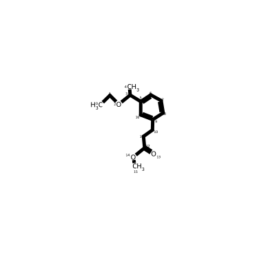 CCOC(C)c1cccc(CCC(=O)OC)c1